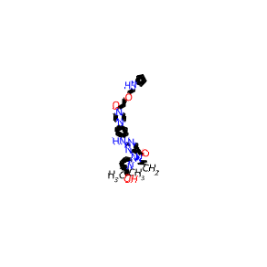 C=CCn1c(=O)c2cnc(Nc3ccc(N4CCN(C(=O)CCOCCNC5CCCC5)CC4)cc3)nc2n1-c1cccc(C(C)(C)O)n1